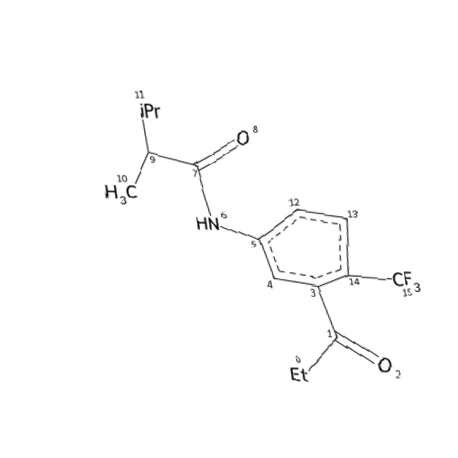 CCC(=O)c1cc(NC(=O)C(C)C(C)C)ccc1C(F)(F)F